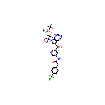 CC(C)(C)[SiH2]OC(C)(C)C1(n2cc(C(=O)c3cncc(NC(=O)Cc4ccc(C(F)(F)F)cc4)c3)c3cncnc32)COC1